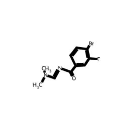 CN(C)/C=N/C(=O)c1ccc(Br)c(F)c1